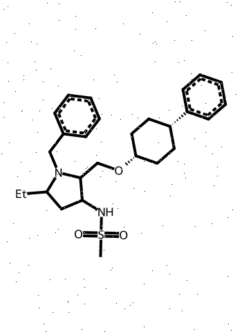 CCC1CC(NS(C)(=O)=O)C(CO[C@H]2CC[C@@H](c3ccccc3)CC2)N1Cc1ccccc1